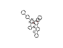 c1ccc(-c2ccc(-c3nc(-c4ccccc4)nc(-c4ccccc4-n4c5ccc(-c6ccccc6)cc5c5ccc6c7ccccc7oc6c54)n3)cc2)cc1